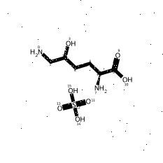 NCC(O)CC[C@H](N)C(=O)O.O=S(=O)(O)O